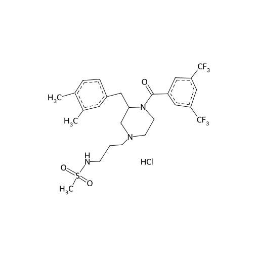 Cc1ccc(CC2CN(CCCNS(C)(=O)=O)CCN2C(=O)c2cc(C(F)(F)F)cc(C(F)(F)F)c2)cc1C.Cl